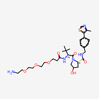 Cc1ncsc1-c1ccc(CNC(=O)[C@@H]2CC(O)CN2C(=O)[C@@H](NC(=O)CCOCCOCCOCCN)C(C)(C)C)cc1